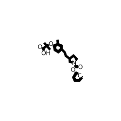 Cc1cc(CCC2CCN(C(=O)Oc3ccccc3)C2)ccc1OC(C)(C)C(=O)O